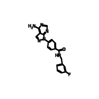 Nc1ncnc2c1cnn2-c1ccc(C(=O)NCc2cccc(F)c2)cc1